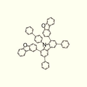 c1ccc(-c2ccc(-n3c4c(-c5ccc6oc7ccccc7c6c5)cc(-c5ccccc5)cc4c4cc(-c5ccccc5)cc(-c5ccc6oc7ccccc7c6c5)c43)cc2)cc1